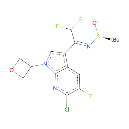 CC(C)(C)[S@+]([O-])N=C(c1cn(C2COC2)c2nc(Cl)c(F)cc12)C(F)F